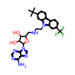 CC(C)(C)c1ccc2c3ccc(C(F)(F)F)cc3n(CCNCC3OC(n4cnc5c(N)ncnc54)C(O)C3O)c2c1